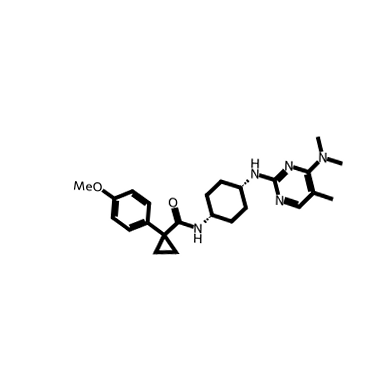 COc1ccc(C2(C(=O)N[C@H]3CC[C@@H](Nc4ncc(C)c(N(C)C)n4)CC3)CC2)cc1